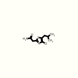 CC(C)Cc1sc(CC(N)=O)nc1Cl